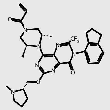 C=CC(=O)N1C[C@H](C)N(c2nc(OC[C@@H]3CCCN3C)nc3c(=O)n(-c4cccc5c4CCC5)c(C(F)(F)F)nc23)[C@@H](C)C1